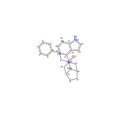 O=C(CCc1ccccc1)N1C2CCC1CN(c1ncnc3[nH]ccc13)C2